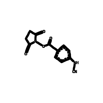 N#CNc1ccc(C(=O)ON2C(=O)CCC2=O)cc1